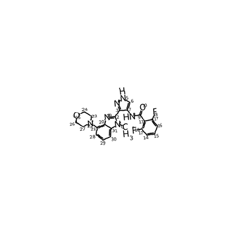 Cn1c(-c2n[nH]cc2NC(=O)c2c(F)cccc2F)nc2c(N3CCOCC3)cccc21